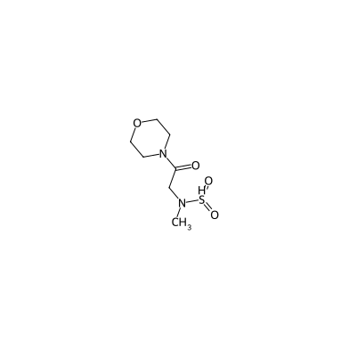 CN(CC(=O)N1CCOCC1)[SH](=O)=O